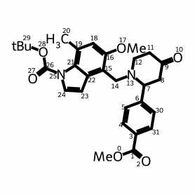 COC(=O)c1ccc(C2CC(=O)CCN2Cc2c(OC)cc(C)c3c2ccn3C(=O)OC(C)(C)C)cc1